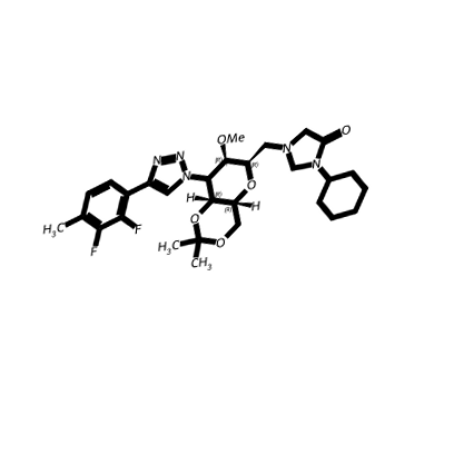 CO[C@@H]1C(n2cc(-c3ccc(C)c(F)c3F)nn2)[C@H]2OC(C)(C)OC[C@H]2O[C@@H]1CN1CC(=O)N(C2CCCCC2)C1